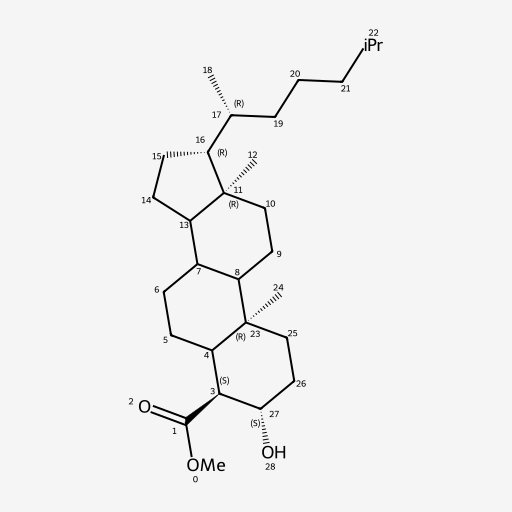 COC(=O)[C@H]1C2CCC3C(CC[C@@]4(C)C3CC[C@@H]4[C@H](C)CCCC(C)C)[C@@]2(C)CC[C@@H]1O